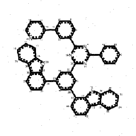 c1ccc(-c2nc(-c3cccc(-c4cccnc4)c3)nc(-c3cc(-c4cccc5c4sc4ccccc45)cc(-c4cccc5c4sc4ccccc45)c3)n2)cc1